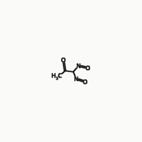 CC(=O)C(N=O)N=O